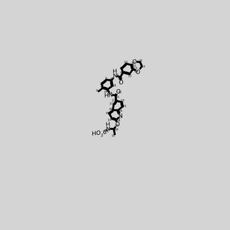 Cc1ccc(NC(=O)c2ccc3c(c2)OCCO3)cc1NC(=O)c1ccc2nc(OC(C)NC(=O)O)ccc2c1